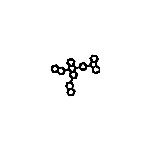 c1ccc2cc(-c3ccc4c(-c5ccc(-n6c7ccccc7c7ccccc76)cc5)c5ccccc5c(-c5ccc6ccccc6c5)c4c3)ccc2c1